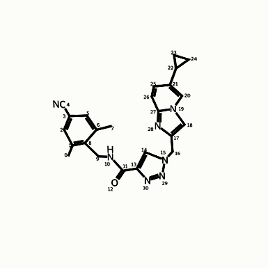 Cc1cc(C#N)cc(C)c1CNC(=O)c1cn(Cc2cn3cc(C4CC4)ccc3n2)nn1